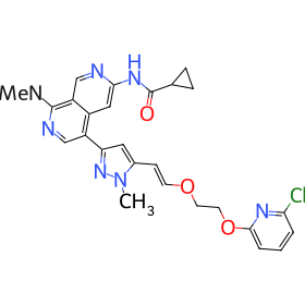 CNc1ncc(-c2cc(/C=C/OCCOc3cccc(Cl)n3)n(C)n2)c2cc(NC(=O)C3CC3)ncc12